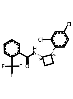 O=C(N[C@H]1CC[C@H]1c1ccc(Cl)cc1Cl)c1ccccc1C(F)(F)F